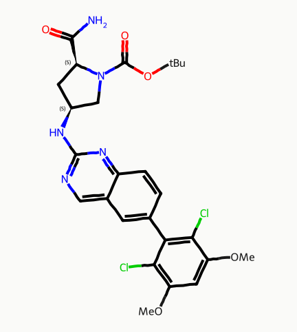 COc1cc(OC)c(Cl)c(-c2ccc3nc(N[C@H]4C[C@@H](C(N)=O)N(C(=O)OC(C)(C)C)C4)ncc3c2)c1Cl